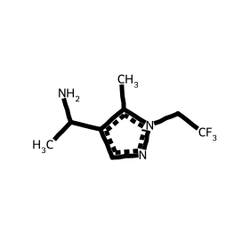 Cc1c(C(C)N)cnn1CC(F)(F)F